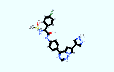 Cn1cc(-c2cc3c(-c4ccc(NC(=O)C(N[S+]([O-])C(C)(C)C)c5ccc(Cl)cc5)cc4)ncnn3c2)cn1